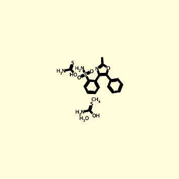 C.Cc1nc(-c2ccccc2S(N)(=O)=O)c(-c2ccccc2)o1.NC(O)=S.NC(O)=S.O